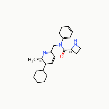 C[C@H]1N=C(CN(C(=O)[C@H]2CCN2)C2=CC=CCC2)C=CC1C1CCCCC1